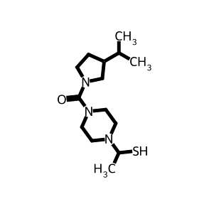 CC(C)C1CCN(C(=O)N2CCN(C(C)S)CC2)C1